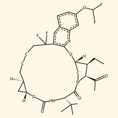 CC[C@@H]1[C@@H]2CN(C(=O)[C@H](C(C)(C)C)NC(=O)O[C@@H]3C[C@H]3CCCCC(F)(F)c3cc4ccc(OC(F)F)cc4nc3O2)[C@@H]1C(C)=O